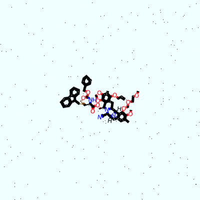 C=CCOc1c(C)c2c(c3c1CC1[C@H]4c5c(cc(C)c(OC)c5OCOCCOC)C[C@@H](C(C#N)N1[C@H]3COC(=O)[C@@H](CSCC1c3ccccc3-c3ccccc31)NC(=O)OCc1ccccc1)N4C)OCO2